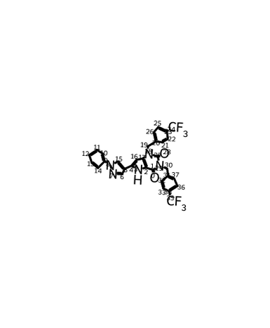 O=c1c2[nH]c(-c3cnn(-c4ccccc4)c3)cc2n(Cc2ccc(C(F)(F)F)cc2)c(=O)n1Cc1ccc(C(F)(F)F)cc1